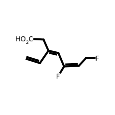 C=C/C(=C\C(F)=C/CF)CC(=O)O